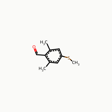 CSc1cc(C)c(C=O)c(C)c1